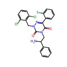 NC(Cn1c(=O)c(-c2ccccc2F)nn(Cc2c(Cl)cccc2Cl)c1=O)c1ccccc1